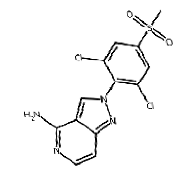 CS(=O)(=O)c1cc(Cl)c(-n2cc3c(N)nccc3n2)c(Cl)c1